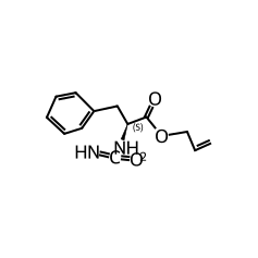 C=CCOC(=O)[C@@H](N)Cc1ccccc1.N=C=O